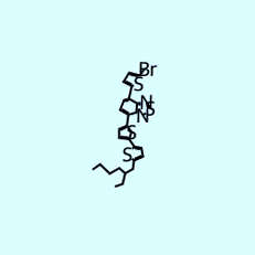 CCCCC(CC)Cc1ccc(-c2ccc(-c3ccc(-c4ccc(Br)s4)c4nsnc34)s2)s1